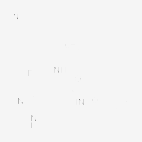 Cc1cc(C#N)ccc1Nc1c(C(=O)NOCC2CC2)cc2[nH]cnc2c1F